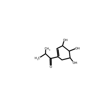 CC(C)C(=O)C1=CC(O)C(O)C(O)C1